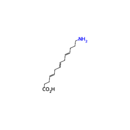 NCCCC=CCC=CCC=CCCC(=O)O